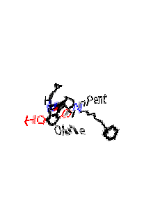 CCCCCN(CCCCCCc1ccccc1)[C@H]1CC[C@H]2[C@H]3Cc4c(O)cc(OC)c5c4[C@@]2(CCN3CC2CC2)[C@H]1O5